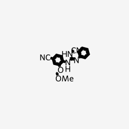 COCOc1cc(C#N)ccc1NC(=Nc1ccccc1)NC#N